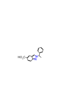 CC(c1ccccc1)n1cc2cc(C(=O)O)ccc2n1